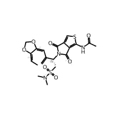 C=C(/C=C1/OCO/C1=C/C)[C@@H](CS(=O)(=O)N(C)C)N1C(=O)c2csc(NC(C)=O)c2C1=O